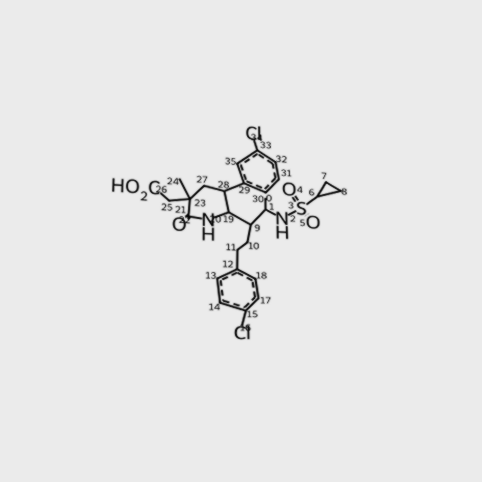 CC(NS(=O)(=O)C1CC1)C(CCc1ccc(Cl)cc1)C1NC(=O)C(C)(CC(=O)O)CC1c1cccc(Cl)c1